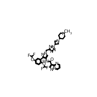 CN1CCC(N2CC(n3nnc(Cn4cc(NC(=O)c5cnn6cccnc56)c(-c5cc(OC(F)F)ccc5OC(F)F)n4)n3)C2)CC1